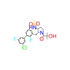 CC(C)(O)C(=O)N1CC[C@H](NS(C)(=O)=O)[C@@H]1Cc1cccc(-c2cc(F)cc(Cl)c2)c1F